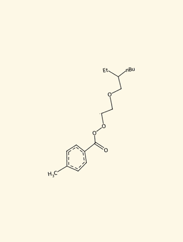 CCCCC(CC)COC[CH]OOC(=O)c1ccc(C)cc1